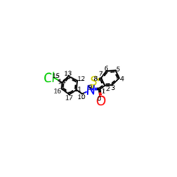 O=c1c2ccccc2sn1Cc1ccc(Cl)cc1